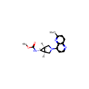 COc1ccc2nccc(N3C[C@@H]4[C@H](C3)[C@H]4NC(=O)OC(C)(C)C)c2n1